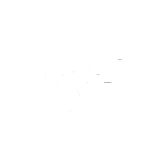 c1ccc2c(c1)Oc1ccc(-c3cccc4c3-c3ccccc3C43c4ccccc4-c4cc5ccccc5cc43)c3cccc-2c13